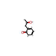 CC(=O)CC1=CC=CCC1=O